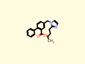 CCCCc1nccn1Cc1ccc(-c2ccccc2)c(C(=O)O)c1